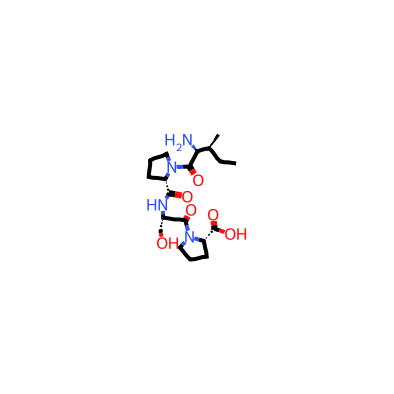 CC[C@H](C)[C@H](N)C(=O)N1CCC[C@H]1C(=O)N[C@@H](CO)C(=O)N1CCC[C@H]1C(=O)O